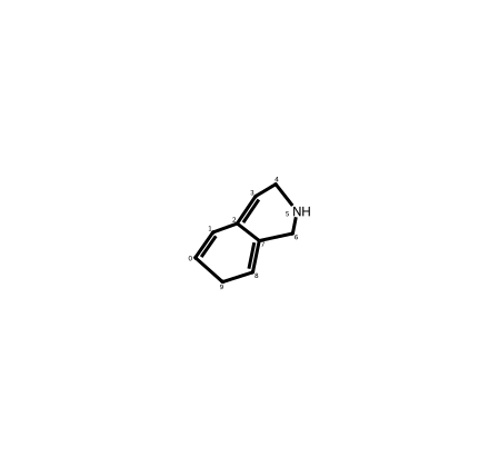 C1=CC2=CCNCC2=CC1